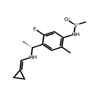 Cc1cc([C@@H](C)NC=C2CC2)c(F)cc1N[S+](C)[O-]